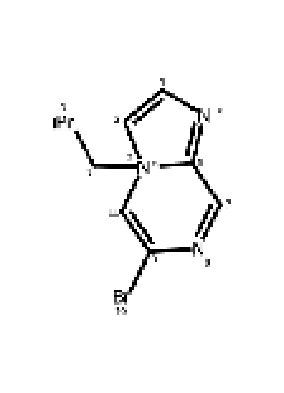 CC(C)C[N+]12C=CN=C1C=NC(Br)=C2